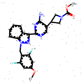 CCOc1cc(F)c(Cn2nc(-c3ncc(C4CN(C(=O)OC(C)(C)C)C4)c(N)n3)c3ccccc32)c(F)c1